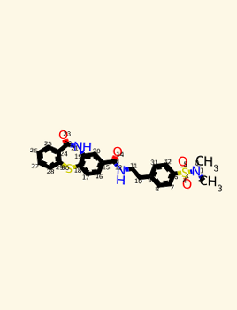 CN(C)S(=O)(=O)c1ccc(CCNC(=O)c2ccc3c(c2)NC(=O)c2ccccc2S3)cc1